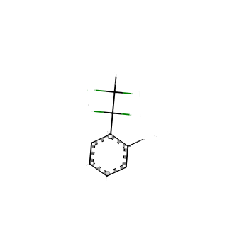 [CH2]CCc1ccccc1C(Cl)(Cl)C(Cl)(Cl)C(Cl)(Cl)Cl